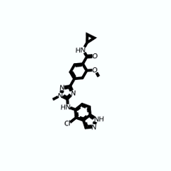 COC1CC(c2nc(Nc3ccc4[nH]ncc4c3Cl)n(C)n2)=CC=C1C(=O)NC1CC1